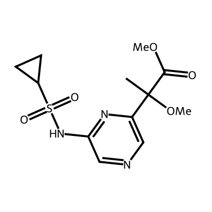 COC(=O)C(C)(OC)c1cncc(NS(=O)(=O)C2CC2)n1